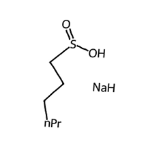 CCCCCCS(=O)O.[NaH]